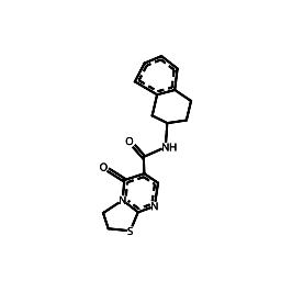 O=C(NC1CCc2ccccc2C1)c1cnc2n(c1=O)CCS2